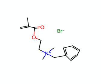 C=C(C)C(=O)OCC[N+](C)(C)Cc1ccccc1.[Br-]